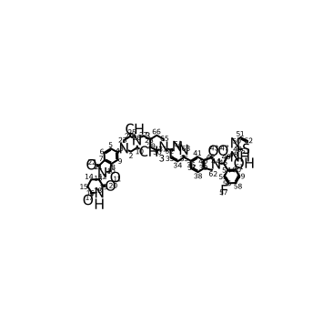 CC1CN(c2ccc3c(c2)C(=O)N(C2CCC(=O)NC2=O)C3=O)CC(C)N1CC1CCN(c2ccc(-c3ccc4c(c3)C(=O)N(C(C(=O)Nc3nccs3)c3cc(F)ccc3O)C4)nn2)CC1